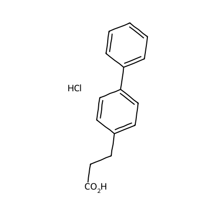 Cl.O=C(O)CCc1ccc(-c2ccccc2)cc1